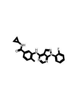 Cc1ccc(C(=O)NC2CC2)cc1Nc1ncnc2c1cnn2-c1ccccc1F